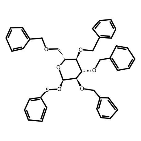 c1ccc(COC[C@H]2O[C@H](OSc3ccccc3)[C@H](OCc3ccccc3)[C@@H](OCc3ccccc3)[C@@H]2OCc2ccccc2)cc1